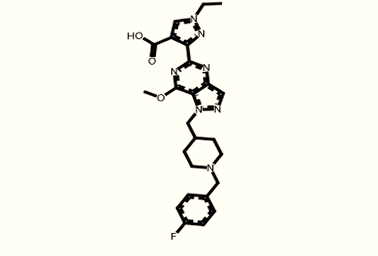 CCn1cc(C(=O)O)c(-c2nc(OC)c3c(cnn3CC3CCN(Cc4ccc(F)cc4)CC3)n2)n1